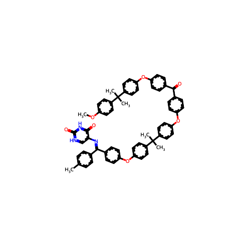 COc1ccc(C(C)(C)c2ccc(Oc3ccc(C(=O)c4ccc(Oc5ccc(C(C)(C)c6ccc(Oc7ccc(C(=Nc8c[nH]c(=O)[nH]c8=O)c8ccc(C)cc8)cc7)cc6)cc5)cc4)cc3)cc2)cc1